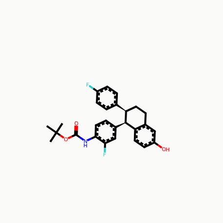 CC(C)(C)OC(=O)Nc1ccc([C@@H]2c3ccc(O)cc3CC[C@@H]2c2ccc(F)cc2)cc1F